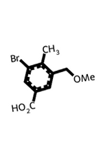 COCc1cc(C(=O)O)cc(Br)c1C